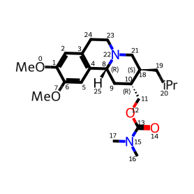 COc1cc2c(cc1OC)[C@H]1C[C@@H](COC(=O)N(C)C)[C@H](CC(C)C)CN1CC2